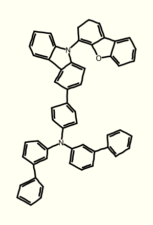 C1=c2c(oc3ccccc23)=C(n2c3ccccc3c3cc(-c4ccc(N(c5cccc(-c6ccccc6)c5)c5cccc(-c6ccccc6)c5)cc4)ccc32)CC1